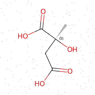 C[C@](O)(CC(=O)O)C(=O)O